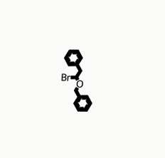 BrC(Cc1ccccc1)OCc1ccccc1